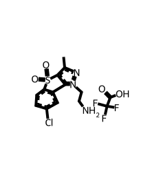 Cc1nn(CCN)c2c1S(=O)(=O)c1ccc(Cl)cc1-2.O=C(O)C(F)(F)F